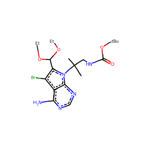 CCOC(OCC)c1c(Br)c2c(N)ncnc2n1C(C)(C)CNC(=O)OC(C)(C)C